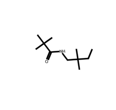 CCC(C)(C)CNC(=O)C(C)(C)C